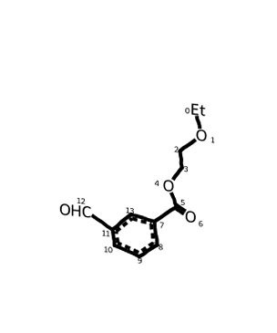 CCOCCOC(=O)c1cccc(C=O)c1